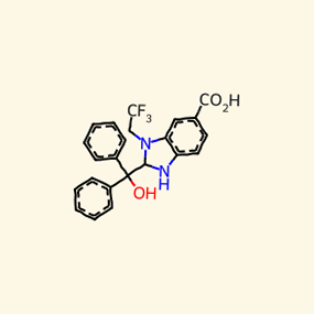 O=C(O)c1ccc2c(c1)N(CC(F)(F)F)C(C(O)(c1ccccc1)c1ccccc1)N2